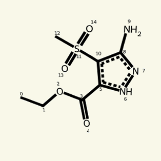 CCOC(=O)c1[nH]nc(N)c1S(C)(=O)=O